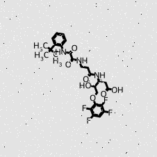 CC(C)(C)c1ccccc1NC(=O)C(=O)NCCC(=O)N[C@@H](CC(=O)O)C(O)COc1c(F)c(F)cc(F)c1F